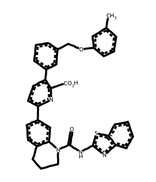 Cc1cccc(OCc2cccc(-c3ccc(-c4ccc5c(c4)N(C(=O)Nc4nc6ccccc6s4)CCC5)nc3C(=O)O)c2)c1